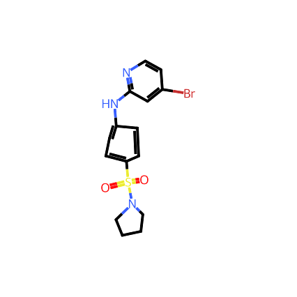 O=S(=O)(c1ccc(Nc2cc(Br)ccn2)cc1)N1CCCC1